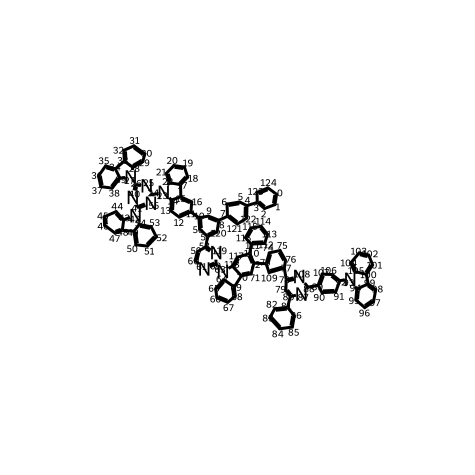 c1ccc(-c2ccc(-c3cc(-c4ccc5c(c4)c4ccccc4n5-c4nc(-n5c6ccccc6c6ccccc65)nc(-n5c6ccccc6c6ccccc65)n4)cc(-c4ccnc(-n5c6ccccc6c6cc(-c7cccc(-c8cc(-c9ccccc9)nc(-c9ccc(-n%10c%11ccccc%11c%11ccccc%11%10)cc9)n8)c7)c(-c7ccccc7)cc65)n4)c3)cc2)cc1